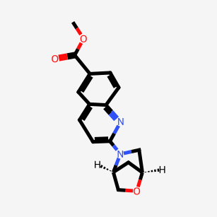 COC(=O)c1ccc2nc(N3C[C@@H]4C[C@H]3CO4)ccc2c1